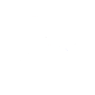 O=C(O)c1ccc2c(c1)C1(OS(=O)(=O)c3ccccc3)Cc3ccccc3CN1CC2